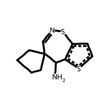 NC1c2sccc2SN=CC12CCCC2